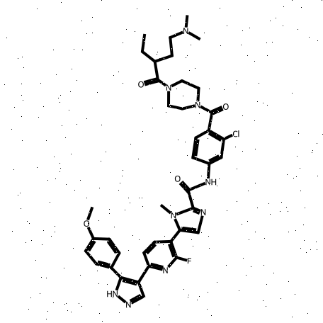 CCC(CCN(C)C)C(=O)N1CCN(C(=O)c2ccc(NC(=O)c3ncc(-c4ccc(-c5cn[nH]c5-c5ccc(OC)cc5)nc4F)n3C)cc2Cl)CC1